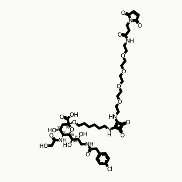 O=C(CCN1C(=O)C=CC1=O)NCCOCCOCCOCCOCCNc1c(NCCCCCCO[C@]2(C(=O)O)C[C@H](O)[C@@H](NC(=O)CO)[C@H]([C@H](O)[C@H](O)CNC(=O)Cc3ccc(Cl)cc3)O2)c(=O)c1=O